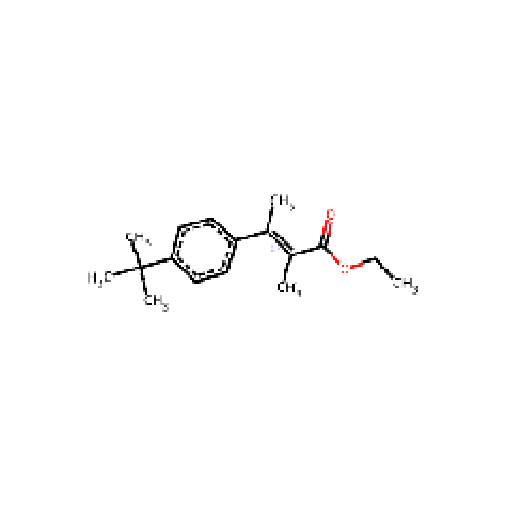 CCOC(=O)/C(C)=C(\C)c1ccc(C(C)(C)C)cc1